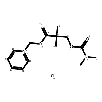 CN(C)C(=O)OCC(C)(C)C(=O)OC[n+]1ccccc1.[Cl-]